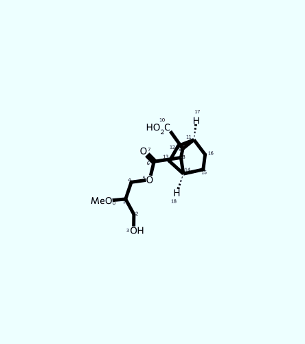 COC(CO)COC(=O)C1C(C(=O)O)[C@H]2CC[C@@H]1CC2